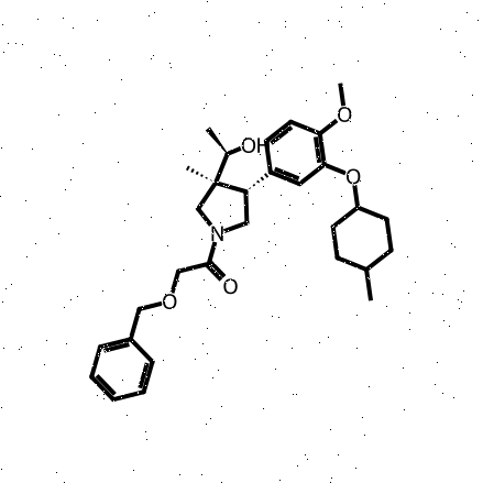 COc1ccc([C@@H]2CN(C(=O)COCc3ccccc3)C[C@@]2(C)[C@@H](C)O)cc1OC1CCC(C)CC1